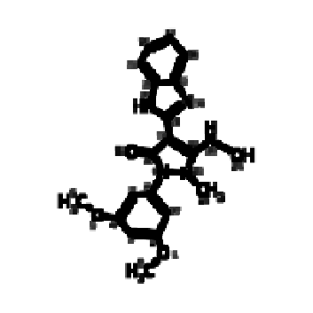 COc1cc(OC)cc(-n2c(=O)c(-c3nc4ccccc4[nH]3)c(NO)n2C)c1